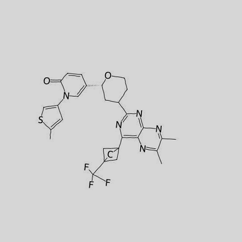 Cc1cc(-n2cc([C@H]3CC(c4nc(C56CC(C(F)(F)F)(C5)C6)c5nc(C)c(C)nc5n4)CCO3)ccc2=O)cs1